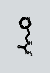 NC(=O)NCCc1cccnc1